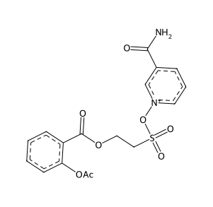 CC(=O)Oc1ccccc1C(=O)OCCS(=O)(=O)O[n+]1cccc(C(N)=O)c1